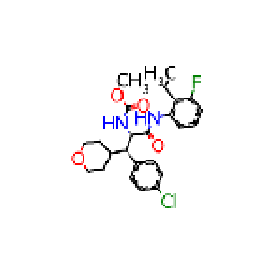 CCc1c(F)cccc1NC(=O)[C@@H](NC(=O)OC)[C@@H](c1ccc(Cl)cc1)C1CCOCC1